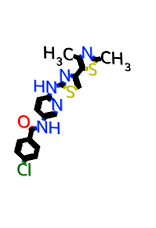 Cc1nc(C)c(-c2csc(Nc3ccc(NC(=O)c4ccc(Cl)cc4)cn3)n2)s1